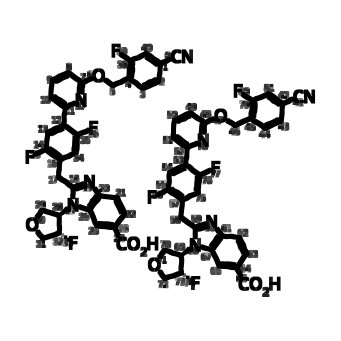 N#Cc1ccc(COc2cccc(-c3cc(F)c(Cc4nc5ccc(C(=O)O)cc5n4[C@@H]4COC[C@H]4F)cc3F)n2)c(F)c1.N#Cc1ccc(COc2cccc(-c3cc(F)c(Cc4nc5ccc(C(=O)O)cc5n4[C@@H]4COC[C@H]4F)cc3F)n2)c(F)c1